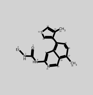 CCNC(=O)Nc1cc2c(-c3cscc3C)ccc(C)c2cn1